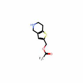 O=C(OCc1cc2c(s1)CCNC2)C(F)(F)F